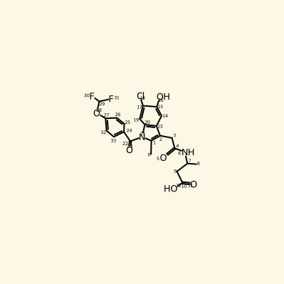 Cc1c(CC(=O)NC(C)CC(=O)O)c2cc(O)c(Cl)cc2n1C(=O)c1ccc(OC(F)F)cc1